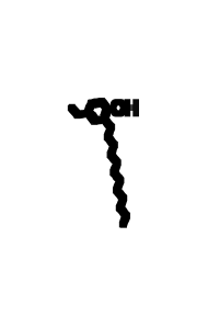 CCCCCCCCCCCCc1cc(CC)ccc1O